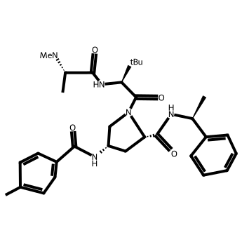 CN[C@@H](C)C(=O)N[C@H](C(=O)N1C[C@@H](NC(=O)c2ccc(C)cc2)C[C@H]1C(=O)N[C@@H](C)c1ccccc1)C(C)(C)C